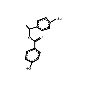 CC(OC(=O)c1ccc(O)cc1)c1ccc(C(C)(C)C)cc1